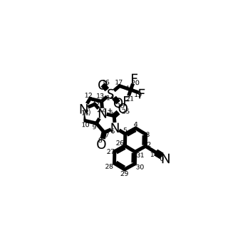 N#Cc1ccc(N2C(=O)C3C[N@@]4CC(S(=O)(=O)CC(F)(F)F)[N+]3(C4)C2=O)c2ccccc12